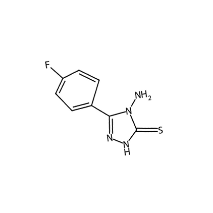 Nn1c(-c2ccc(F)cc2)n[nH]c1=S